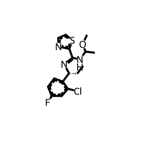 CC[C@@H](/N=C(\NC(C)OC)c1nccs1)c1ccc(F)cc1Cl